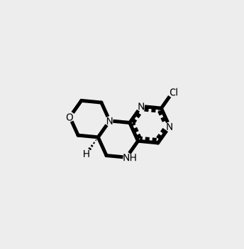 Clc1ncc2c(n1)N1CCOC[C@@H]1CN2